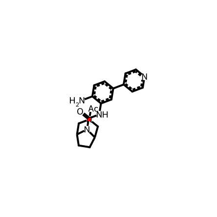 CC(=O)N1CC2CCC(C1)N2C(=O)Nc1cc(-c2ccncc2)ccc1N